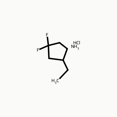 CCC1CCC(F)(F)C1.Cl.N